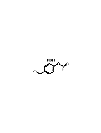 CC(C)Cc1ccc(O[SH]=O)cc1.[NaH]